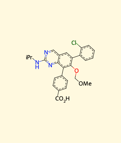 COCOc1c(-c2ccccc2Cl)cc2cnc(NC(C)C)nc2c1-c1ccc(C(=O)O)cc1